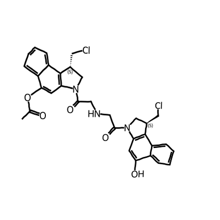 CC(=O)Oc1cc2c(c3ccccc13)[C@H](CCl)CN2C(=O)CNCC(=O)N1C[C@@H](CCl)c2c1cc(O)c1ccccc21